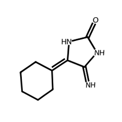 N=C1NC(=O)NC1=C1CCCCC1